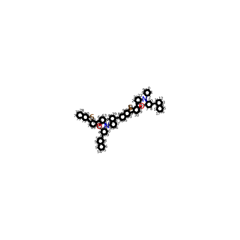 c1ccc(N(c2cccc(-c3cccc4ccccc34)c2)c2cccc3c2oc2ccc4c5cc6ccc(-c7cccc8c(N(c9ccc(-c%10ccc%11ccccc%11c%10)cc9)c9cccc%10c9oc9ccc%11c%12cc%13ccccc%13cc%12sc%11c9%10)cccc78)cc6cc5sc4c23)cc1